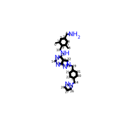 Cc1cc(CN)cc(C)c1CNc1ncnc2nn(Cc3ccc(Cn4cccn4)cc3)cc12